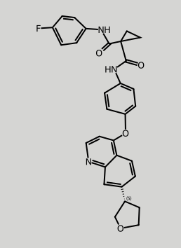 O=C(Nc1ccc(F)cc1)C1(C(=O)Nc2ccc(Oc3ccnc4cc([C@@H]5CCOC5)ccc34)cc2)CC1